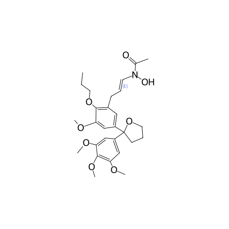 CCCOc1c(C/C=C/N(O)C(C)=O)cc(C2(c3cc(OC)c(OC)c(OC)c3)CCCO2)cc1OC